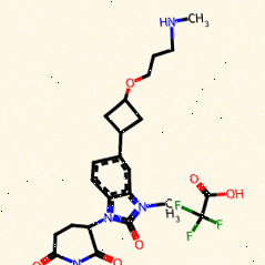 CNCCCOC1CC(c2ccc3c(c2)n(C)c(=O)n3C2CCC(=O)NC2=O)C1.O=C(O)C(F)(F)F